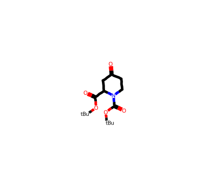 CC(C)(C)OC(=O)C1CC(=O)CCN1C(=O)OC(C)(C)C